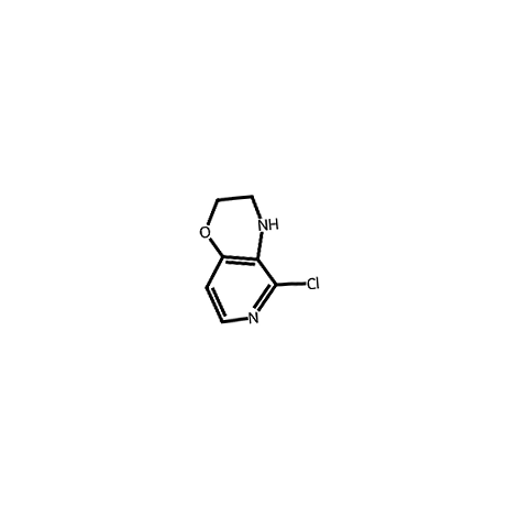 Clc1nccc2c1NCCO2